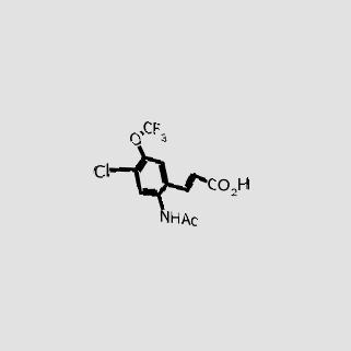 CC(=O)Nc1cc(Cl)c(OC(F)(F)F)cc1C=CC(=O)O